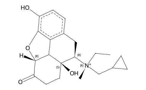 CC[N@+](C)(CC1CC1)[C@@H]1Cc2ccc(O)c3c2C2[C@@H](O3)C(=O)CC[C@]21O